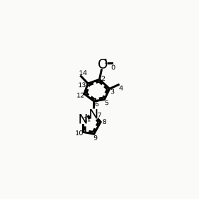 COc1c(C)cc(-n2cccn2)cc1C